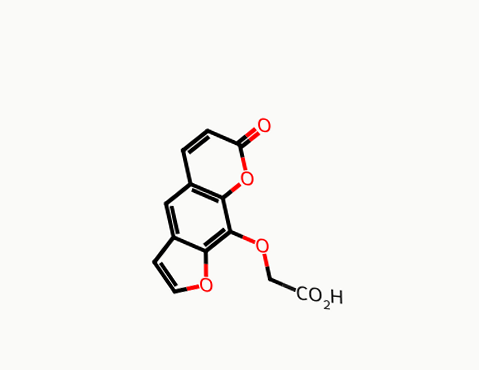 O=C(O)COc1c2occc2cc2ccc(=O)oc12